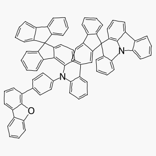 c1ccc(N(c2ccc(-c3cccc4c3oc3ccccc34)cc2)c2cccc3c2-c2ccccc2C32c3ccccc3-c3ccccc32)c(-c2ccc3c(c2)C2(c4ccccc4-3)c3ccccc3-n3c4ccccc4c4cccc2c43)c1